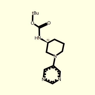 CC(C)(C)OC(=O)N[C@H]1CCCN(c2cncnc2)C1